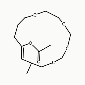 CC(=O)O/C1=C\C(C)CCCCCCCCCCCC1